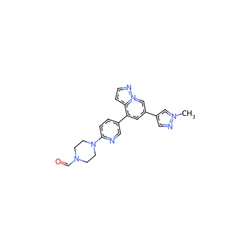 Cn1cc(-c2cc(-c3ccc(N4CCN(C=O)CC4)nc3)c3ccnn3c2)cn1